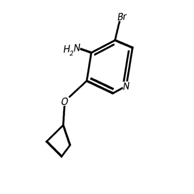 Nc1c(Br)cncc1OC1CCC1